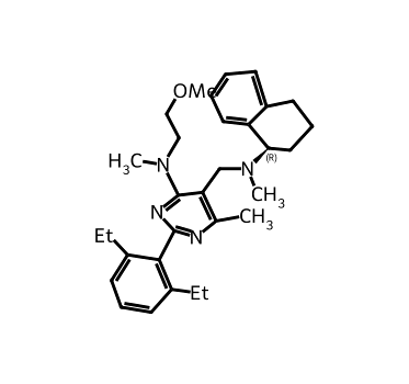 CCc1cccc(CC)c1-c1nc(C)c(CN(C)[C@@H]2CCCc3ccccc32)c(N(C)CCOC)n1